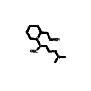 CN(C)CCCN(C=O)N1CCCCC1CCO